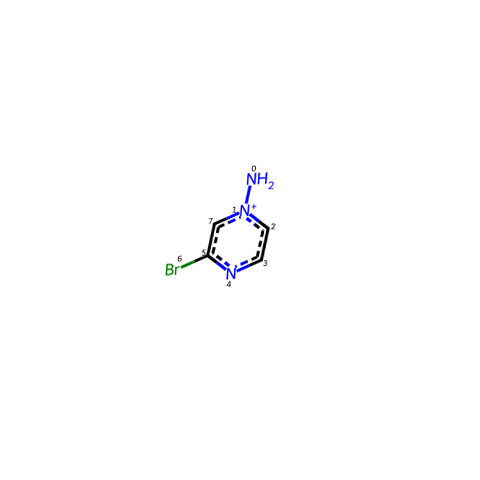 N[n+]1ccnc(Br)c1